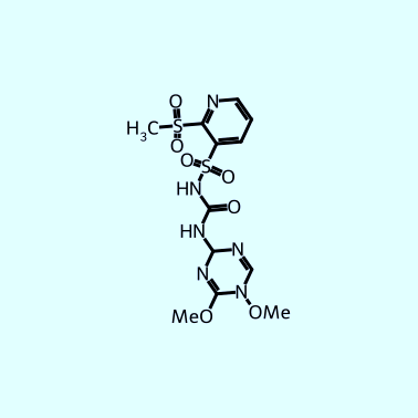 COC1=NC(NC(=O)NS(=O)(=O)c2cccnc2S(C)(=O)=O)N=CN1OC